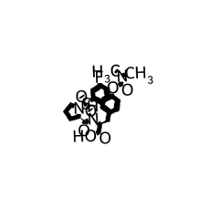 CN(C)C(=O)Oc1ccc(C[C@H](NC(=O)[C@@H]2CCCN2S(=O)(=O)c2cccc(F)c2)C(=O)O)cc1